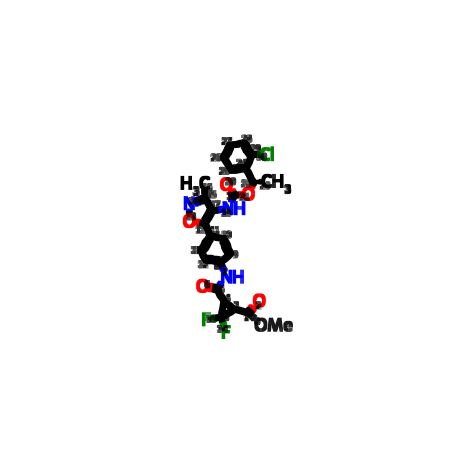 COC(=O)C1C(C(=O)Nc2ccc(-c3onc(C)c3NC(=O)O[C@H](C)c3ccccc3Cl)cc2)C1(F)F